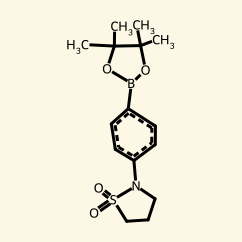 CC1(C)OB(c2ccc(N3CCCS3(=O)=O)cc2)OC1(C)C